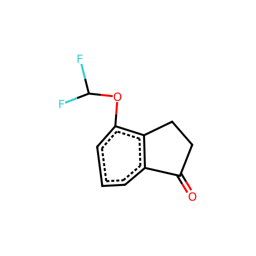 O=C1CCc2c(OC(F)F)cccc21